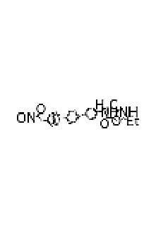 CCC1NC(C)=C(C(=O)Nc2ccc(-c3ccc(C45CCC(CC(=O)N=O)(CC4)OC5)cc3)cc2)O1